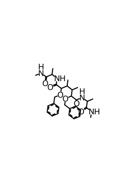 CNC(=O)C(C)NC(=O)C(OCc1ccccc1)C(C)C(C)C(OCc1ccccc1)C(=O)NC(C)C(=O)NC